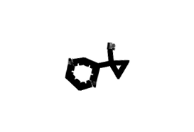 CCC1(c2cnccn2)CC1